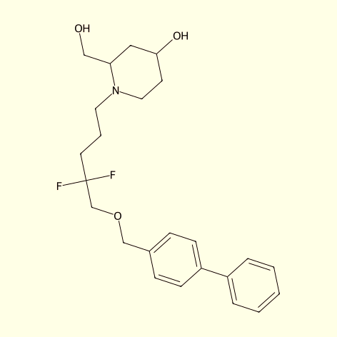 OCC1CC(O)CCN1CCCC(F)(F)COCc1ccc(-c2ccccc2)cc1